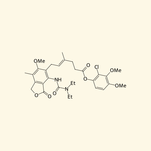 CCN(CC)C(=O)Nc1c(C/C=C(\C)CCC(=O)Oc2ccc(OC)c(OC)c2Cl)c(OC)c(C)c2c1C(=O)OC2